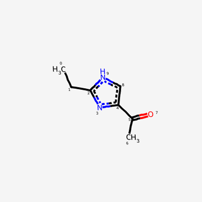 CCc1nc(C(C)=O)c[nH]1